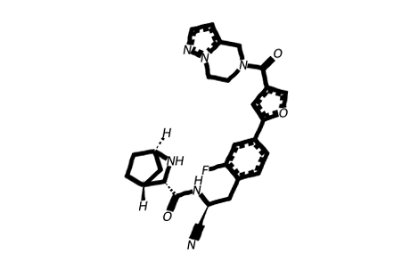 N#C[C@H](Cc1ccc(-c2cc(C(=O)N3CCn4nccc4C3)co2)cc1F)NC(=O)[C@H]1N[C@@H]2CC[C@@H]1C2